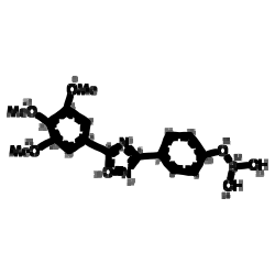 COc1cc(-c2nc(-c3ccc(OB(O)O)cc3)no2)cc(OC)c1OC